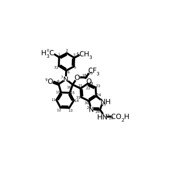 Cc1cc(C)cc(N2C(=O)c3ccccc3C2(OC(=O)C(F)(F)F)c2ccc3[nH]c(NC(=O)O)nc3c2)c1